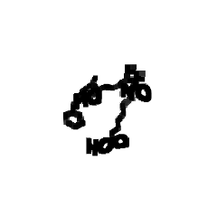 CC(CCCc1ccccc1)[C@H](O)/C=C/[C@H]1CC(F)(F)C(=O)N1CCCCCCC(=O)O